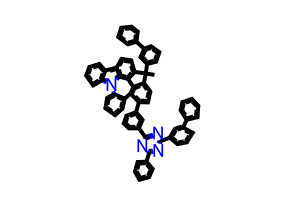 CC1(c2cccc(-c3ccccc3)c2)c2ccc(-c3cccc(-c4nc(-c5ccccc5)nc(-c5cccc(-c6ccccc6)c5)n4)c3)c3c2-c2c1ccc1c4ccccc4n(c21)-c1ccccc1-3